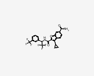 NC(=O)c1ccc2c(C3CC3)c(C(=O)NC(c3cccc(C(F)(F)F)c3)C(F)(F)F)oc2c1